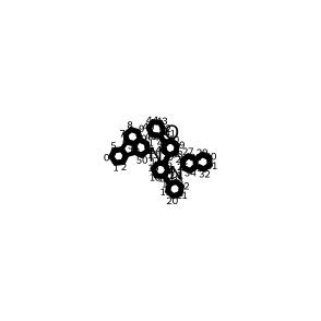 c1ccc2c(c1)-c1cccc3cc(-n4c5ccc6c7ccccc7n(-c7ccc8ccccc8c7)c6c5c5ccc6oc7ccccc7c6c54)cc-2c13